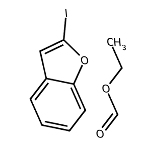 CCOC=O.Ic1cc2ccccc2o1